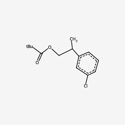 CC(COC(=O)C(C)(C)C)c1cccc(Cl)c1